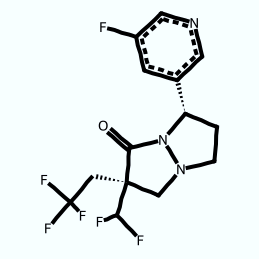 O=C1N2[C@H](c3cncc(F)c3)CCN2C[C@@]1(CC(F)(F)F)C(F)F